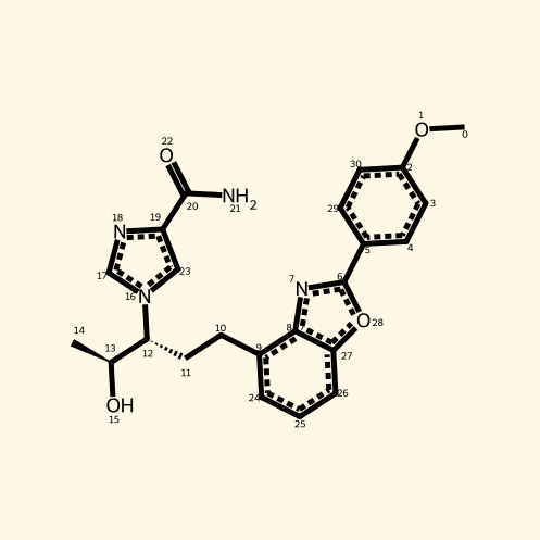 COc1ccc(-c2nc3c(CC[C@H]([C@H](C)O)n4cnc(C(N)=O)c4)cccc3o2)cc1